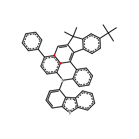 CC(C)(C)c1ccc2c(c1)C(C)(C)C1=CCCC(c3ccccc3N(C3=C=C=Cc4sc5ccccc5c43)c3ccc(-c4ccccc4)cc3)=C12